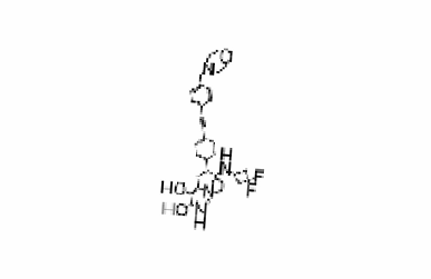 O=C(NC1CC(F)(F)C1)C(CC1=C(O)C(O)NC=N1)c1ccc(C#Cc2ccc(CN3CCOCC3)cc2)cc1